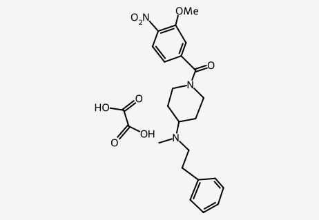 COc1cc(C(=O)N2CCC(N(C)CCc3ccccc3)CC2)ccc1[N+](=O)[O-].O=C(O)C(=O)O